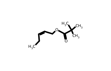 CC/C=C\COC(=O)C(C)(C)C